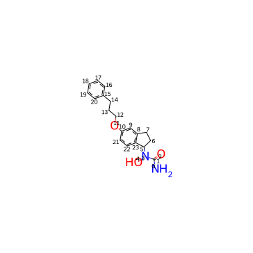 NC(=O)N(O)C1CCc2cc(OCCCc3ccccc3)ccc21